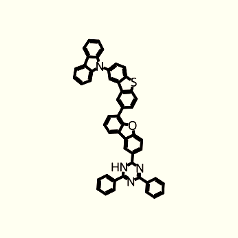 c1ccc(C2=NC(c3ccc4oc5c(-c6ccc7sc8ccc(-n9c%10ccccc%10c%10ccccc%109)cc8c7c6)cccc5c4c3)NC(c3ccccc3)=N2)cc1